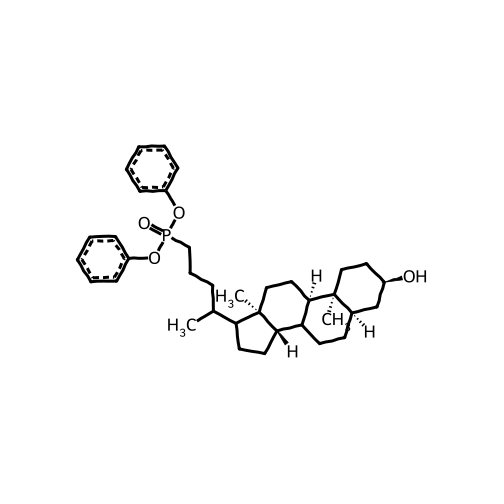 CC(CCCP(=O)(Oc1ccccc1)Oc1ccccc1)C1CC[C@H]2C3CC[C@@H]4C[C@H](O)CC[C@]4(C)[C@@H]3CC[C@]12C